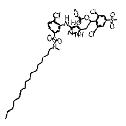 CCCCCCCCCCCCCCCCN(C)S(=O)(=O)c1ccc(Cl)c(Nc2cc(CC(OC(=O)O)c3c(Cl)cc(S(C)(=O)=O)cc3Cl)[nH]n2)c1